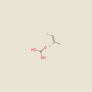 CC(F)=CF.O=C(O)O